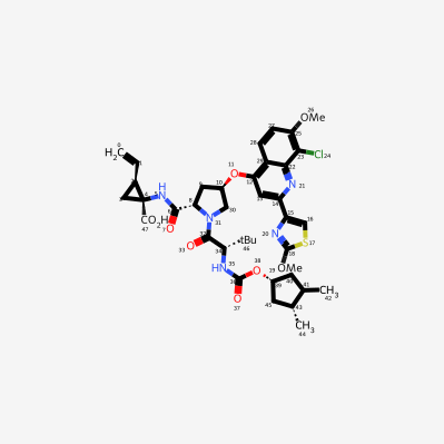 C=C[C@@H]1C[C@]1(NC(=O)[C@@H]1C[C@@H](Oc2cc(-c3csc(OC)n3)nc3c(Cl)c(OC)ccc23)CN1C(=O)[C@@H](NC(=O)O[C@@H]1CC(C)[C@H](C)C1)C(C)(C)C)C(=O)O